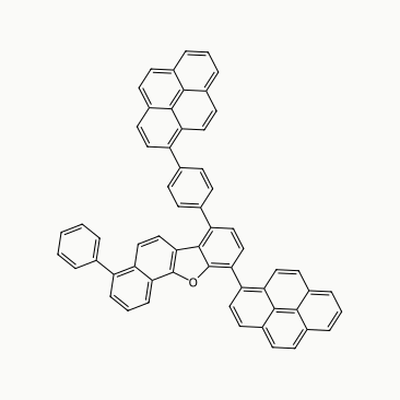 c1ccc(-c2cccc3c2ccc2c3oc3c(-c4ccc5ccc6cccc7ccc4c5c67)ccc(-c4ccc(-c5ccc6ccc7cccc8ccc5c6c78)cc4)c32)cc1